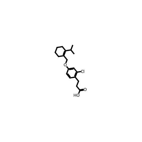 CC(C)C1=C(COc2ccc(CCC(=O)O)c(Cl)c2)CCCC1